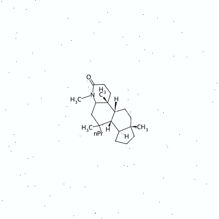 CCCC1(C)CC2N(C)C(=O)CC[C@]2(C)[C@@H]2CC[C@]3(C)CCC[C@H]3[C@@H]21